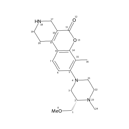 COC[C@@H]1CN(c2ccc3c4c(c(=O)oc3c2C)CNCC4)CCN1C